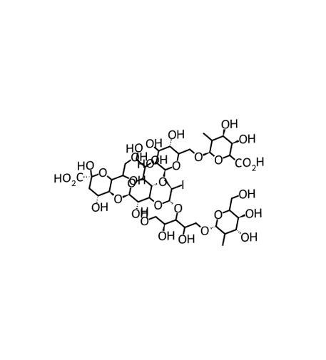 CC1[C@H](OCC(O)C(O[C@H](OC2[C@@H](O[C@@H]3OC(CO[C@@H]4OC(C(=O)O)[C@H](O)[C@H](O)C4C)[C@@H](O)C(O)[C@@H]3O)C(C(O)CO)O[C@H](O[C@@H]3C(C(O)CO)O[C@@](O)(C(=O)O)C[C@H]3O)[C@H]2O)[C@@H](C)I)[C@@H](O)CO)OC(CO)[C@@H](O)[C@@H]1O